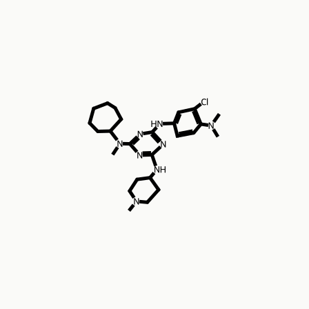 CN1CCC(Nc2nc(Nc3ccc(N(C)C)c(Cl)c3)nc(N(C)C3CCCCCC3)n2)CC1